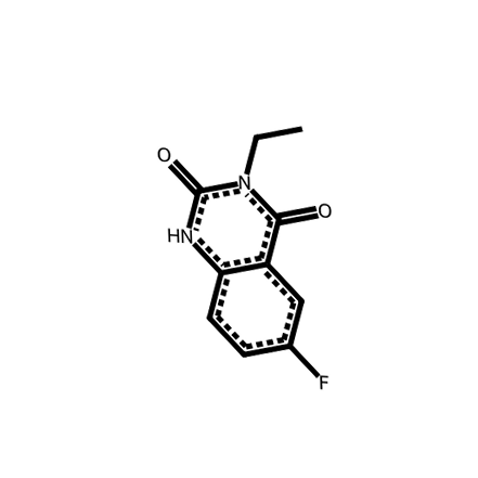 CCn1c(=O)[nH]c2ccc(F)cc2c1=O